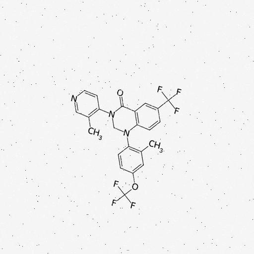 Cc1cnccc1N1CN(c2ccc(OC(F)(F)F)cc2C)c2ccc(C(F)(F)F)cc2C1=O